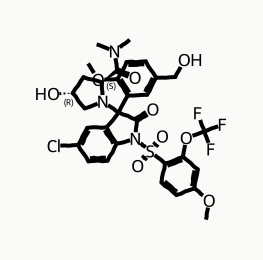 COc1ccc(S(=O)(=O)N2C(=O)C(c3cc(CO)ccc3OC)(N3C[C@H](O)C[C@H]3C(=O)N(C)C)c3cc(Cl)ccc32)c(OC(F)(F)F)c1